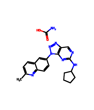 Cc1ccc2cc(-n3nnc4cnc(NC5CCCC5)nc43)ccc2n1.NC(=O)O